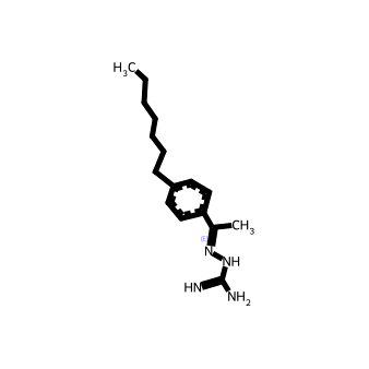 CCCCCCCc1ccc(/C(C)=N/NC(=N)N)cc1